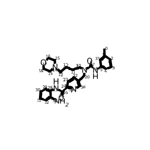 Cc1cccc(NC(=O)N(CCCCN2CCOCC2)Cc2ccc(C(=O)Nc3ccccc3N)nc2)c1